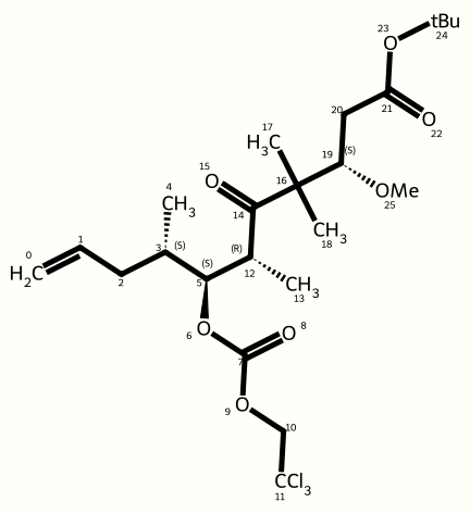 C=CC[C@H](C)[C@H](OC(=O)OCC(Cl)(Cl)Cl)[C@@H](C)C(=O)C(C)(C)[C@H](CC(=O)OC(C)(C)C)OC